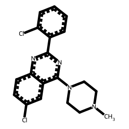 CN1CCN(c2nc(-c3ccccc3Cl)nc3ccc(Cl)cc23)CC1